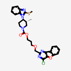 CSc1nc2ccccc2n1[C@@H]1CCN(C(=O)OCCCOCc2nc(Cl)c3oc4ccccc4c3n2)C[C@H]1C